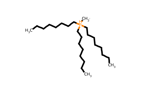 [CH2][PH](CCCCCCCC)(CCCCCCCC)CCCCCCCC